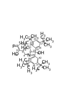 CCC(N=Cc1cccc(F)c1O)C(O)(c1cc(C(C)(C)C)cc(C(C)(C)C)c1)c1cc(C(C)(C)C)cc(C(C)(C)C)c1